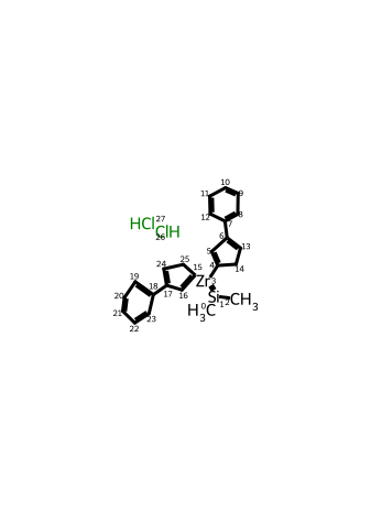 C[Si](C)=[Zr]([C]1=CC(c2ccccc2)=CC1)[C]1=CC(c2ccccc2)=CC1.Cl.Cl